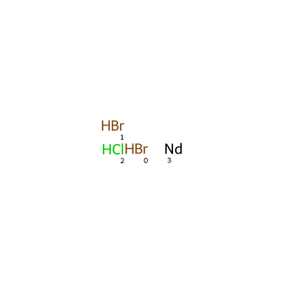 Br.Br.Cl.[Nd]